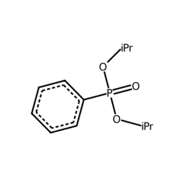 CC(C)OP(=O)(OC(C)C)c1ccccc1